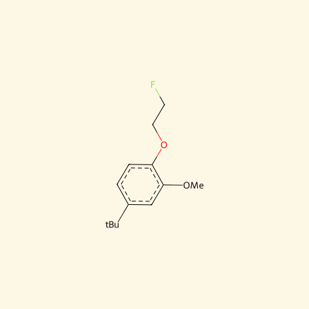 COc1cc(C(C)(C)C)ccc1OCCF